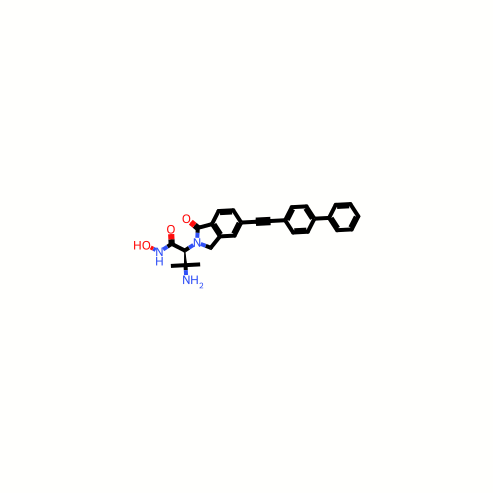 CC(C)(N)[C@@H](C(=O)NO)N1Cc2cc(C#Cc3ccc(-c4ccccc4)cc3)ccc2C1=O